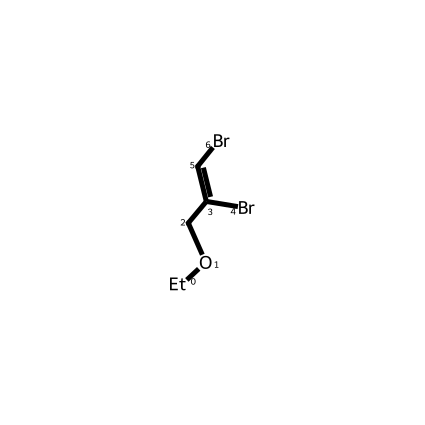 [CH2]COC/C(Br)=C/Br